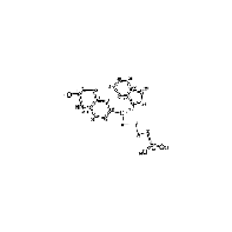 O=c1ccc2cc(OCCCC=S(=O)=O)ccc2[nH]1.c1ccc2scnc2c1